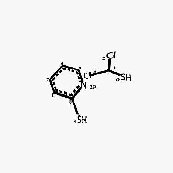 SC(Cl)Cl.Sc1ccccn1